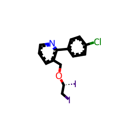 Clc1ccc(-c2ncccc2CO[C@H](I)CI)cc1